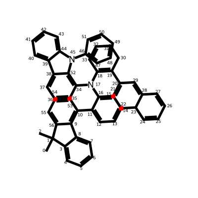 CC1(C)c2ccccc2-c2c(-c3ccccc3N(C3=C(C4=CCC5C=CC=CC5=C4)CCC=C3)c3cccc4c5ccccc5n(-c5ccccc5)c34)cccc21